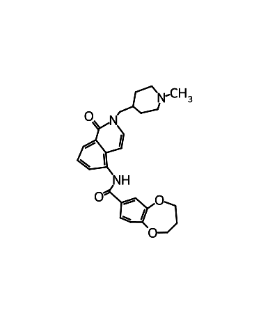 CN1CCC(Cn2ccc3c(NC(=O)c4ccc5c(c4)OCCCO5)cccc3c2=O)CC1